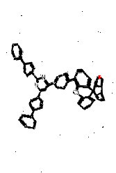 c1ccc(-c2ccc(-c3cc(-c4ccc(-c5cccc6c5Oc5ccccc5C65c6ccccc6-c6ccccc65)cc4)nc(-c4ccc(-c5ccccc5)cc4)n3)cc2)cc1